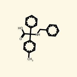 Cc1ccc(C(NCc2ccccc2)(C(=O)O)c2ccccc2)cc1